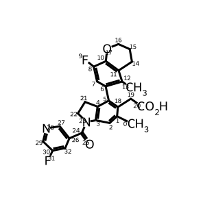 Cc1cc2c(c(-c3cc(F)c4c(c3C)CCCO4)c1CC(=O)O)CCN2C(=O)c1cncc(F)c1